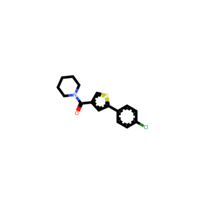 O=C(c1csc(-c2ccc(Cl)cc2)c1)N1CCCCC1